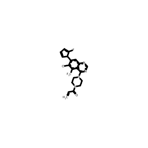 C=CC(=O)N1CCN(c2ncnc3cc(C4C=CC=C4F)c(Cl)c(C(F)(F)F)c23)CC1